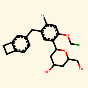 CCc1cc(OCF)c(C2CC(O)CC(CO)O2)cc1Cc1ccc2c(c1)CC2